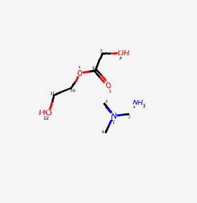 CN(C)C.N.O=C(CO)OCCO